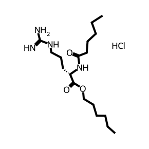 CCCCCCOC(=O)[C@H](CCCNC(=N)N)NC(=O)CCCCC.Cl